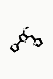 COc1cc(-c2cccs2)sc1C=C1C=CC=N1